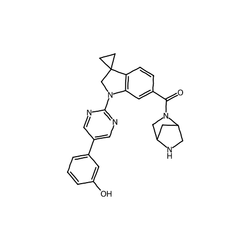 O=C(c1ccc2c(c1)N(c1ncc(-c3cccc(O)c3)cn1)CC21CC1)N1CC2CC1CN2